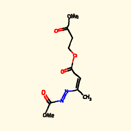 COC(=O)CCOC(=O)/C=C(/C)N=NC(=O)OC